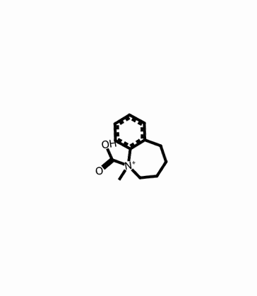 C[N+]1(C(=O)O)CCCCc2ccccc21